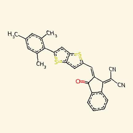 Cc1cc(C)c(-c2cc3sc(/C=C4\C(=O)c5ccccc5C4=C(C#N)C#N)cc3s2)c(C)c1